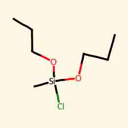 CCCO[Si](C)(Cl)OCCC